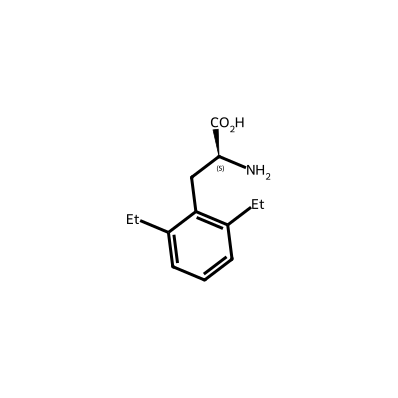 CCc1cccc(CC)c1C[C@H](N)C(=O)O